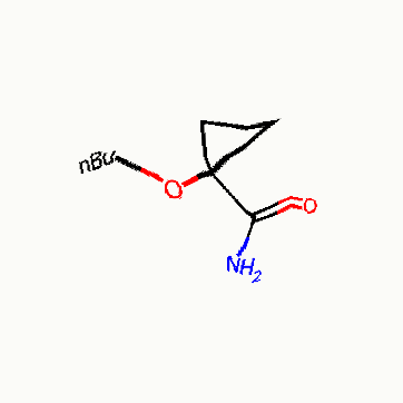 CCCCOC1(C(N)=O)CC1